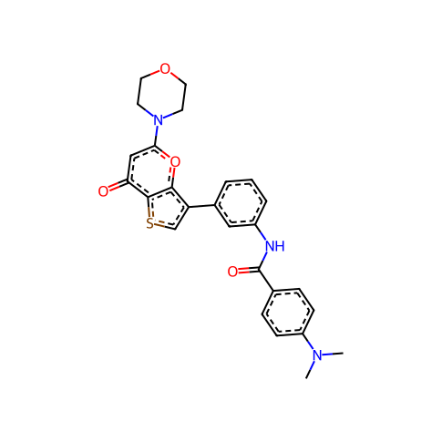 CN(C)c1ccc(C(=O)Nc2cccc(-c3csc4c(=O)cc(N5CCOCC5)oc34)c2)cc1